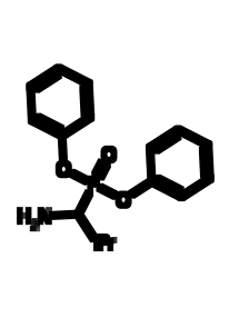 CC(C)C(N)P(=O)(Oc1ccccc1)Oc1ccccc1